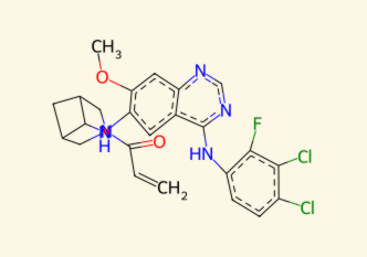 C=CC(=O)N1CC2CC(C1)C2Nc1cc2c(Nc3ccc(Cl)c(Cl)c3F)ncnc2cc1OC